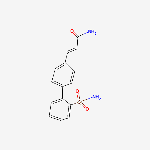 NC(=O)C=Cc1ccc(-c2ccccc2S(N)(=O)=O)cc1